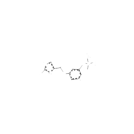 Cc1nc(COc2cccc(O[Si](C)(C)C(C)(C)C)c2)cs1